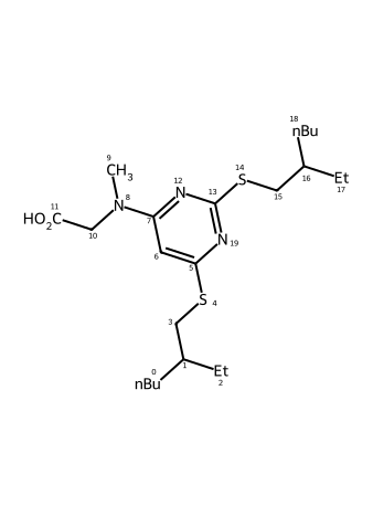 CCCCC(CC)CSc1cc(N(C)CC(=O)O)nc(SCC(CC)CCCC)n1